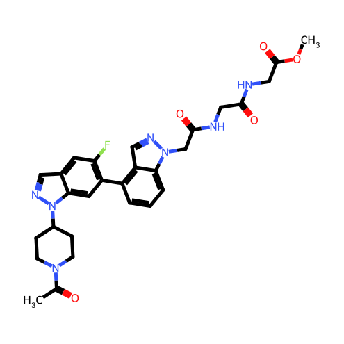 COC(=O)CNC(=O)CNC(=O)Cn1ncc2c(-c3cc4c(cnn4C4CCN(C(C)=O)CC4)cc3F)cccc21